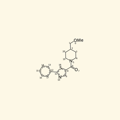 COCC1CCN(C(=O)c2cnc(-c3ccccc3)s2)CC1